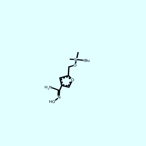 CC(C)(C)[Si](C)(C)OCc1cc(/C(N)=N/O)co1